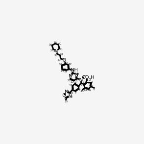 Cc1cc(C)c(C(c2ccc(-c3noc(C)n3)cc2)N(C(=O)O)c2ccnc(Nc3cccc(OCCCN4CCCCC4)c3)n2)c(C)c1